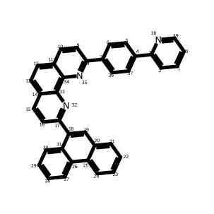 c1ccc(-c2ccc(-c3ccc4ccc5ccc(-c6cc7ccccc7c7ccccc67)nc5c4n3)cc2)nc1